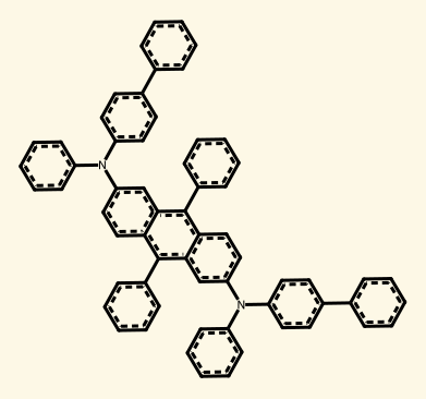 c1ccc(-c2ccc(N(c3ccccc3)c3ccc4c(-c5ccccc5)c5cc(N(c6ccccc6)c6ccc(-c7ccccc7)cc6)ccc5c(-c5ccccc5)c4c3)cc2)cc1